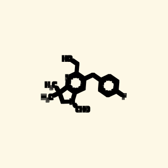 CC1(C)CN(C=O)c2cc(Cc3ccc(F)cc3)c(CO)nc21